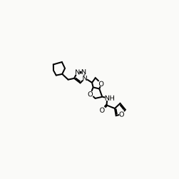 O=C(NC1COC2C1OCC2n1cc(CC2CCCCC2)nn1)c1ccoc1